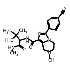 CNC(=O)C(NC(=O)c1nc(-c2ccc(C#N)cc2)n2c1CN(C)CC2)C(C)(C)C